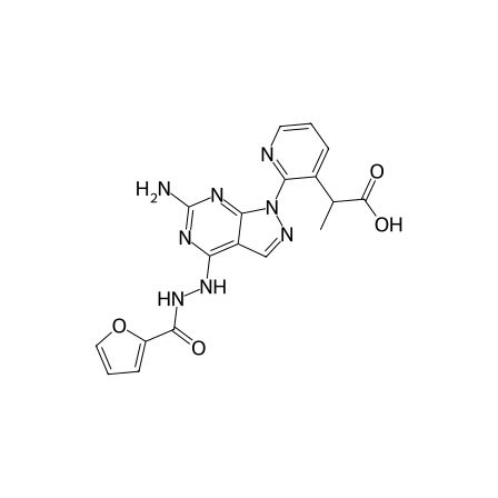 CC(C(=O)O)c1cccnc1-n1ncc2c(NNC(=O)c3ccco3)nc(N)nc21